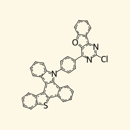 Clc1nc(-c2ccc(-n3c4ccccc4c4c5c6ccccc6sc5c5ccccc5c43)cc2)c2oc3ccccc3c2n1